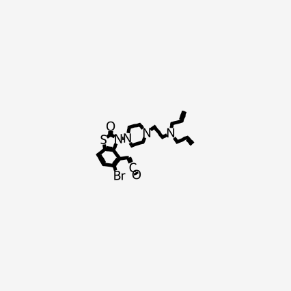 C=CCN(CC=C)CCN1CCN(n2c(=O)sc3ccc(Br)c(C=C=O)c32)CC1